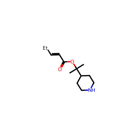 CC/C=C/C(=O)OC(C)(C)C1CCNCC1